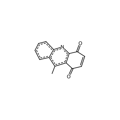 Cc1c2c(nc3ccccc13)C(=O)C=CC2=O